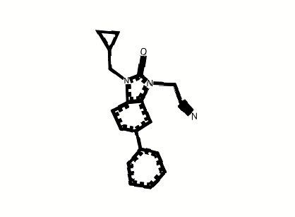 N#CCn1c(=O)n(CC2CC2)c2ccc(-c3ccccc3)cc21